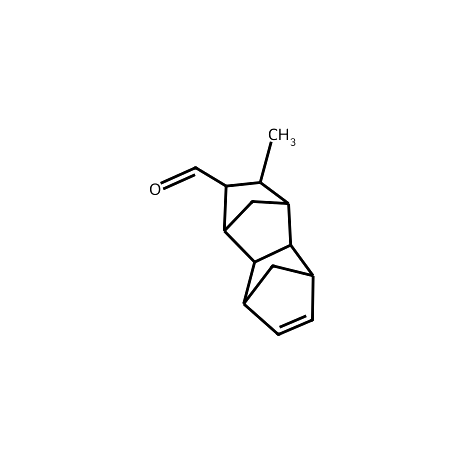 CC1C(C=O)C2CC1C1C3C=CC(C3)C21